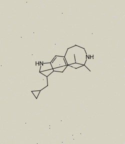 CC1C2NC3=CC4=C(CC3C2CC2CC2)CC1(C)NCCC4